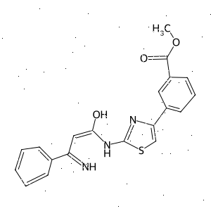 COC(=O)c1cccc(-c2csc(N/C(O)=C\C(=N)c3ccccc3)n2)c1